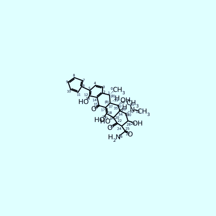 C[C@H]1c2ccc(-c3ccccc3)c(O)c2C(=O)C2=C(O)[C@]3(O)C(=O)C(C(N)=O)C(O)[C@@H](N(C)C)[C@@H]3[C@@H](O)[C@@H]21